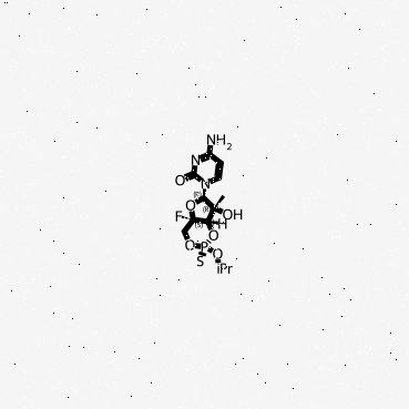 CC(C)OP1(=S)OC[C@@]2(F)O[C@@H](n3ccc(N)nc3=O)[C@](C)(O)[C@@H]2O1